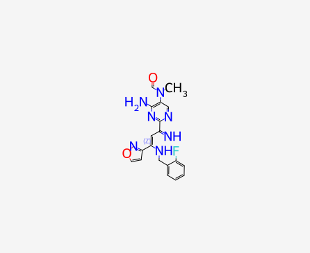 CN(C=O)c1cnc(C(=N)/C=C(\NCc2ccccc2F)c2ccon2)nc1N